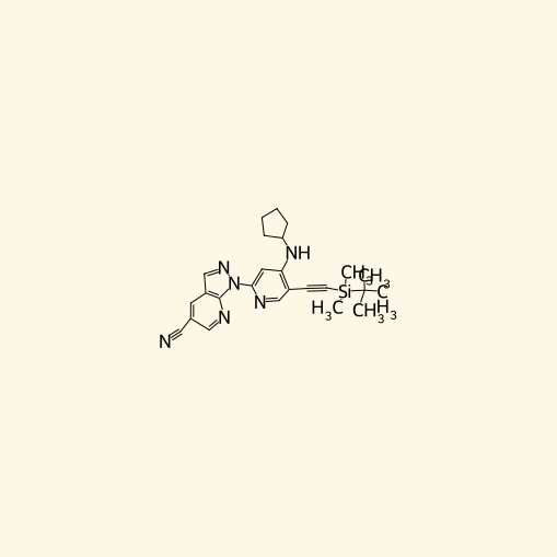 CC(C)(C)[Si](C)(C)C#Cc1cnc(-n2ncc3cc(C#N)cnc32)cc1NC1CCCC1